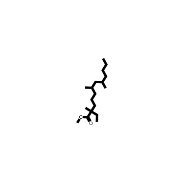 CCCCC(C)CC(C)CCCC(C)(CC)C(=O)OC